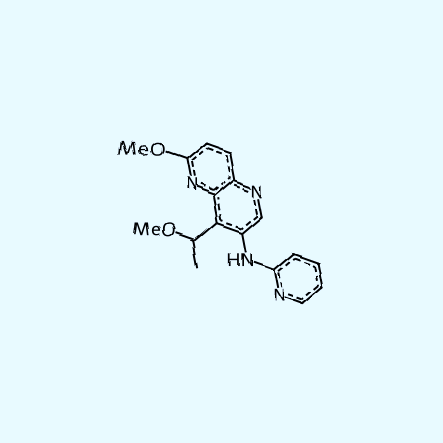 COc1ccc2ncc(Nc3ccccn3)c(C(C)OC)c2n1